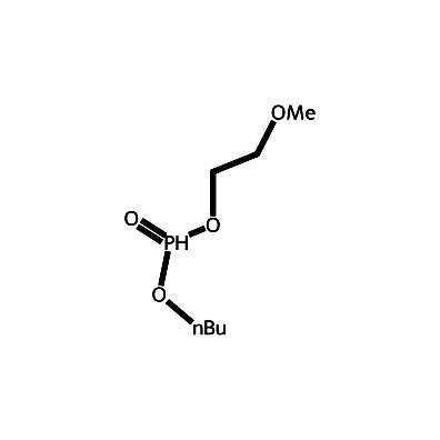 CCCCO[PH](=O)OCCOC